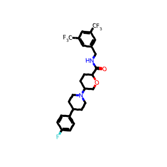 O=C(NCc1cc(C(F)(F)F)cc(C(F)(F)F)c1)C1CCC(N2CCC(c3ccc(F)cc3)CC2)CO1